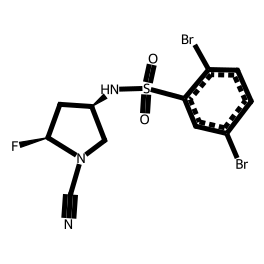 N#CN1C[C@H](NS(=O)(=O)c2cc(Br)ccc2Br)C[C@@H]1F